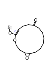 CCO/C1=C/CCC(=O)CCCCCCC2OC2CCO1